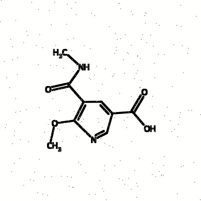 CNC(=O)c1cc(C(=O)O)cnc1OC